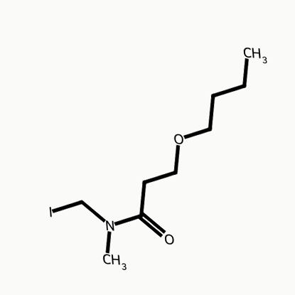 CCCCOCCC(=O)N(C)CI